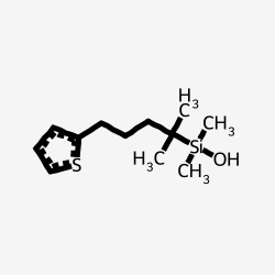 CC(C)(CCCc1cccs1)[Si](C)(C)O